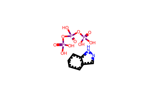 O=P(O)(O)OP(=O)(O)OP(=O)(O)O.c1ccc2[nH]ncc2c1